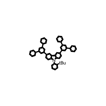 CC(C)(C)c1ccccc1-n1c2ccc(-c3cc(-c4ccccc4)cc(-c4ccccc4)c3)cc2c2cc(-c3cc(-c4ccccc4)cc(-c4ccccc4)c3)ccc21